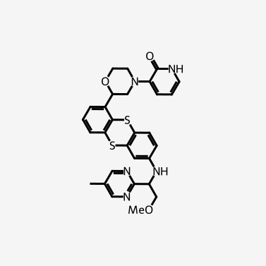 COCC(Nc1ccc2c(c1)Sc1cccc(C3CN(c4ccc[nH]c4=O)CCO3)c1S2)c1ncc(C)cn1